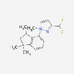 CC1CC(C)(C)c2cccc([N+]3(C)C=CC(C(F)F)=N3)c21